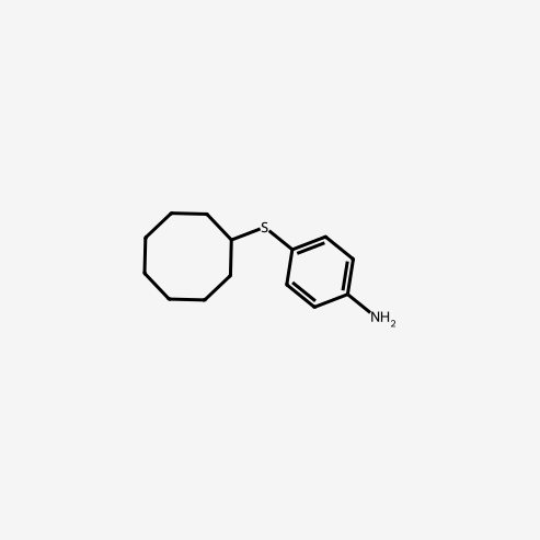 Nc1ccc(SC2CCCCCCC2)cc1